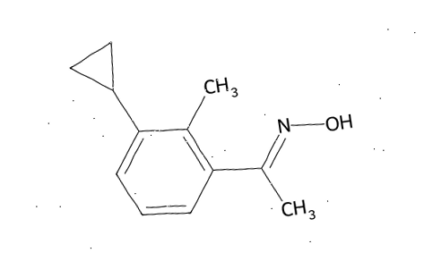 CC(=NO)c1cccc(C2CC2)c1C